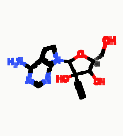 C#CC1(O)C(O)[C@@H](CO)OC1n1ccc2c(N)ncnc21